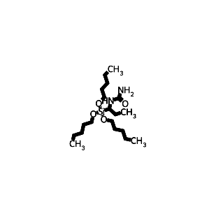 CCCCCO[Si](OCCCCC)(OCCCCC)C(CC)NC(N)=O